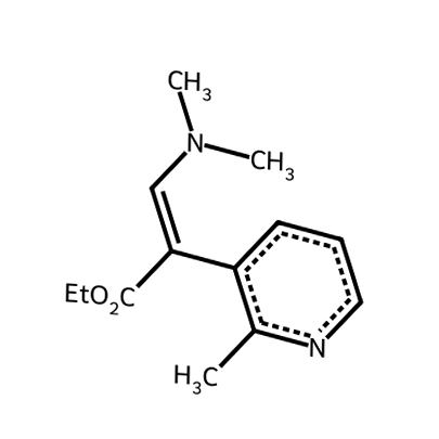 CCOC(=O)/C(=C/N(C)C)c1cccnc1C